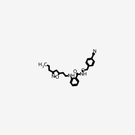 CCCC1=NOC(CCNc2ccccc2C(=O)NOCc2ccc(C#N)cc2)C1